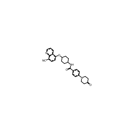 N#Cc1ccc(OC2CCC(NC(=O)c3ccc(N4CCC(=O)CC4)cc3)CC2)c2cccnc12